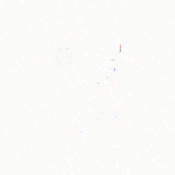 Cc1c(O)cc(O)c2c1C(=O)OC[C@H](Oc1ccc([N+](=O)[O-])cc1[N+](=O)[O-])C(=O)N[C@H](C(=O)O)CSC2